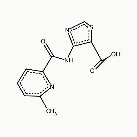 Cc1cccc(C(=O)Nc2ncsc2C(=O)O)n1